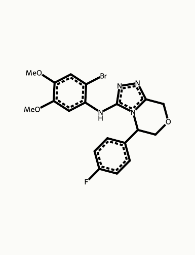 COc1cc(Br)c(Nc2nnc3n2C(c2ccc(F)cc2)COC3)cc1OC